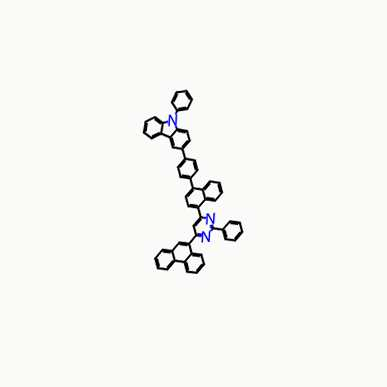 c1ccc(-c2nc(-c3ccc(-c4ccc(-c5ccc6c(c5)c5ccccc5n6-c5ccccc5)cc4)c4ccccc34)cc(-c3cc4ccccc4c4ccccc34)n2)cc1